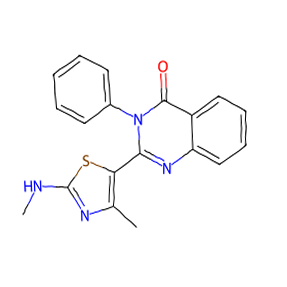 CNc1nc(C)c(-c2nc3ccccc3c(=O)n2-c2ccccc2)s1